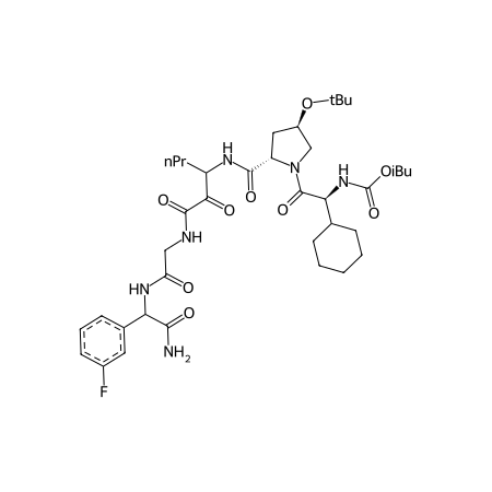 CCCC(NC(=O)[C@@H]1C[C@@H](OC(C)(C)C)CN1C(=O)[C@@H](NC(=O)OCC(C)C)C1CCCCC1)C(=O)C(=O)NCC(=O)NC(C(N)=O)c1cccc(F)c1